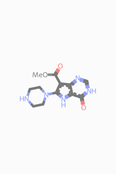 COC(=O)c1c(N2CCNCC2)[nH]c2c(=O)[nH]cnc12